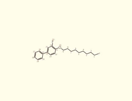 CCCCCCCCCCOc1ccc(-c2cc[c]cc2)cc1F